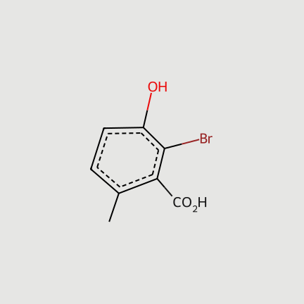 Cc1ccc(O)c(Br)c1C(=O)O